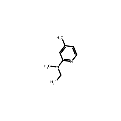 CCN(C)c1cc(C)ccn1